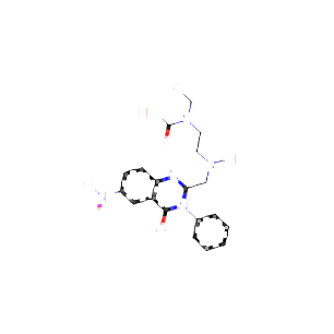 CCN(CCN(C)Cc1nc2ccc([N+](=O)[O-])cc2c(=O)n1-c1ccccc1)C(=O)O